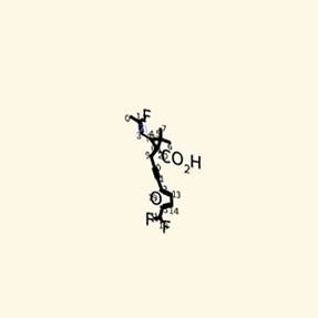 C/C(F)=C/[C@H]1C(C)(C)[C@]1(CC#Cc1ccc(C(F)F)o1)C(=O)O